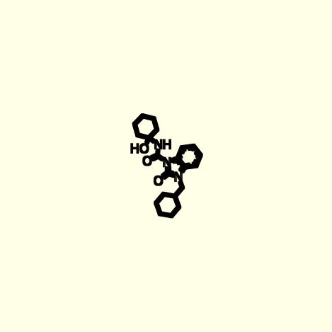 O=C(NC1(O)CCCCC1)n1c(=O)n(CC2CCCCC2)c2ccccc21